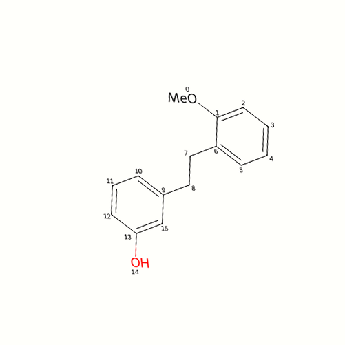 COc1ccccc1CCc1cccc(O)c1